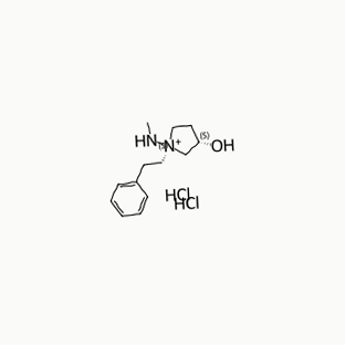 CN[N@@+]1(CCc2ccccc2)CC[C@H](O)C1.Cl.Cl